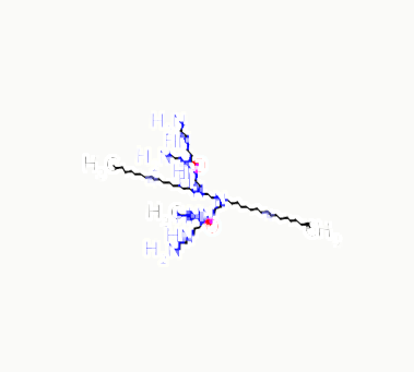 CCCCCCCC/C=C/CCCCCCCCN(CCCCN(CCCCCCCC/C=C/CCCCCCCC)CCCNC(=O)C(CCCNCCCN)NCCCN)CCCNC(=O)C(CCCNCCCN)NCCCC